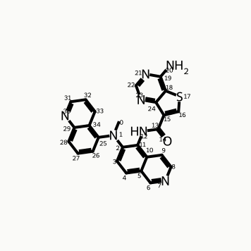 CN(c1ccc2cnccc2c1NC(=O)c1csc2c(N)ncnc12)c1cccc2ncccc12